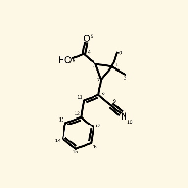 CC1(C)C(C(=O)O)C1C(C#N)=Cc1ccccc1